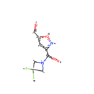 O=Cc1cc(C(=O)N2CC(F)(F)C2)no1